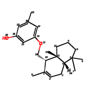 CC1=CC[C@H]2C(C)(C)CCC[C@@]2(C)[C@H]1COc1cc(C)cc(O)c1